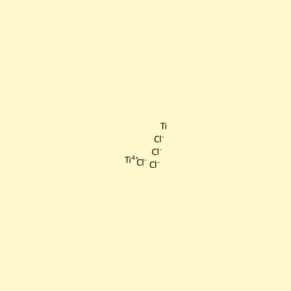 [Cl-].[Cl-].[Cl-].[Cl-].[Ti+4].[Ti]